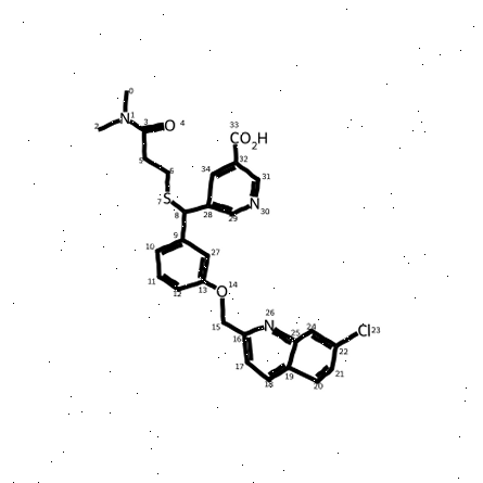 CN(C)C(=O)CCSC(c1cccc(OCc2ccc3ccc(Cl)cc3n2)c1)c1cncc(C(=O)O)c1